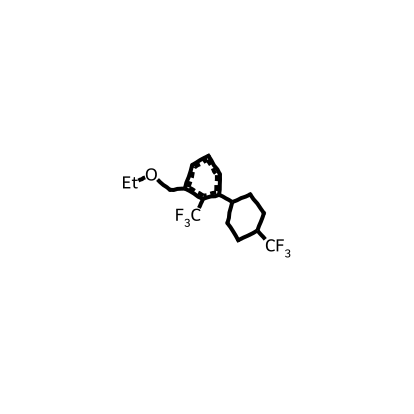 CCOCc1cccc(C2CCC(C(F)(F)F)CC2)c1C(F)(F)F